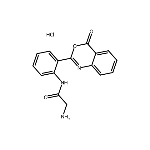 Cl.NCC(=O)Nc1ccccc1-c1nc2ccccc2c(=O)o1